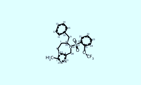 Cc1nnc2n1CC[C@@H](Cc1ccccc1)N(S(=O)(=O)c1ccccc1OC(F)(F)F)C2